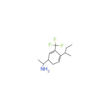 CCC(C)C1=CCC(C(C)N)C=C1C(F)(F)F